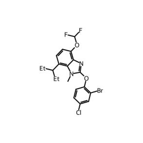 CCC(CC)c1ccc(OC(F)F)c2nc(Oc3ccc(Cl)cc3Br)n(C)c12